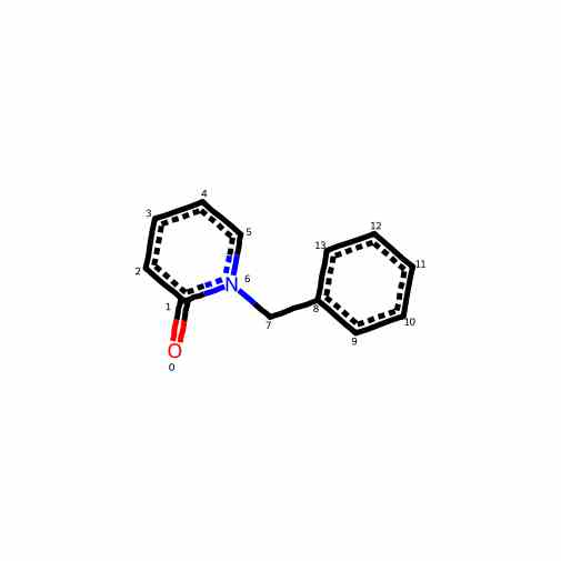 O=c1ccccn1Cc1ccccc1